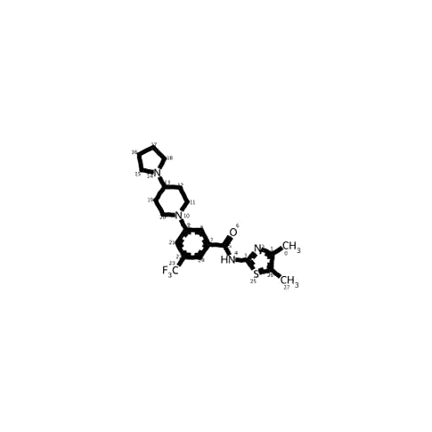 Cc1nc(NC(=O)c2cc(N3CCC(N4CCCC4)CC3)cc(C(F)(F)F)c2)sc1C